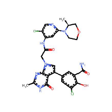 Cc1nc2c(c(-c3cc(Cl)c(O)c(C(N)=O)c3)cn2CC(=O)Nc2cc(N3CCOC[C@@H]3C)ncc2Cl)c(=O)[nH]1